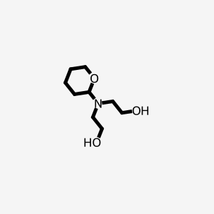 OCCN(CCO)C1CCCCO1